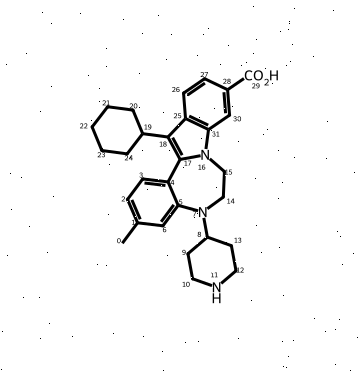 Cc1ccc2c(c1)N(C1CCNCC1)CCn1c-2c(C2CCCCC2)c2ccc(C(=O)O)cc21